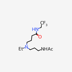 CCN(CCCNC(C)=O)CCCC(=O)NCC(F)(F)F